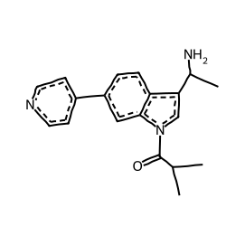 CC(C)C(=O)n1cc(C(C)N)c2ccc(-c3ccncc3)cc21